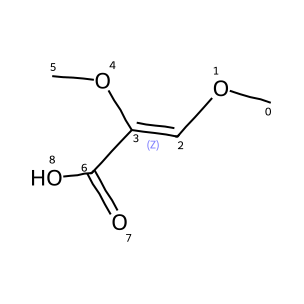 CO/C=C(\OC)C(=O)O